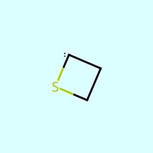 [C]1CCS1